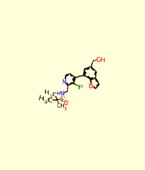 CC(C)(C)[S@@+]([O-])NCc1nccc(-c2cc(CO)cc3ccoc23)c1F